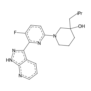 CC(C)CC1(O)CCCN(c2ccc(F)c(-c3n[nH]c4ncccc34)n2)C1